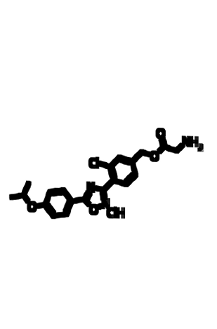 CC(C)Oc1ccc(-c2nc(-c3ccc(COC(=O)CN)cc3Cl)no2)cc1.Cl